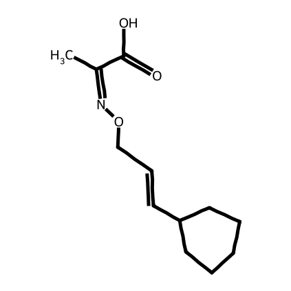 CC(=NOCC=CC1CCCCC1)C(=O)O